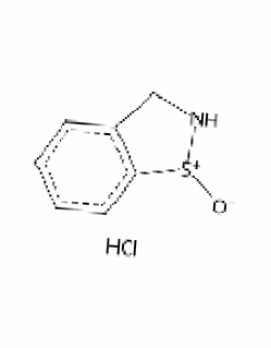 Cl.[O-][S+]1NCc2ccccc21